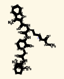 COC(=O)/C=C/CC[C@H](NC(=O)c1oc2ccccc2c1C)C(=O)Nc1cccn(CC(=O)NC2CC3CC[C@]2(C)C3(C)C)c1=O